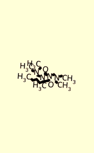 CCCCC1(C)C(=O)N(CN(CC)CC)C(=O)N1CN(CC)CC